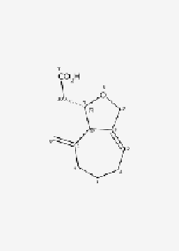 C=C1CCCC=C2CO[C@@H](CC(=O)O)C12